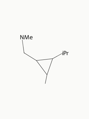 CNCC1C(C)C1C(C)C